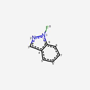 Fn1ncc2c[c]ccc21